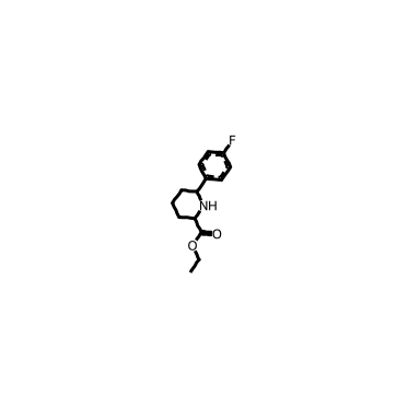 CCOC(=O)C1CCCC(c2ccc(F)cc2)N1